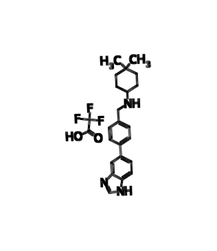 CC1(C)CCC(NCc2ccc(-c3ccc4[nH]cnc4c3)cc2)CC1.O=C(O)C(F)(F)F